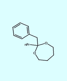 CCCC1(Cc2ccccc2)OCCCCO1